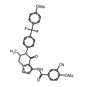 COc1ccc(C(F)(F)c2ccc(N3C(=O)c4c(NC(=O)c5ccc(OC)c(C#N)c5)cnn4CC3C)cc2)cc1